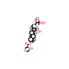 CCO[C@@H]([C@H]1C[C@@H](C)[C@H]2[C@H](O1)[C@H](O)[C@@]1(C)[C@@H]3CC[C@H]4C(C)(C)[C@@H](OC(=O)[C@@H]5COCCN5)CCC45C[C@@]35CC[C@]21C)C(C)(C)O